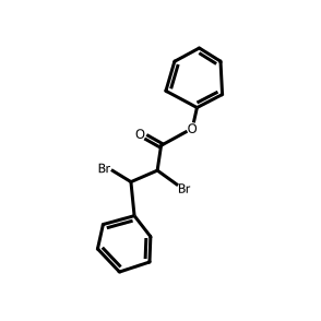 O=C(Oc1ccccc1)C(Br)C(Br)c1ccccc1